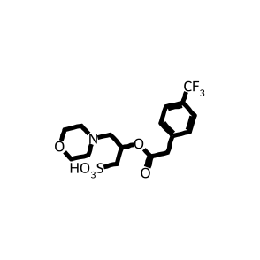 O=C(Cc1ccc(C(F)(F)F)cc1)OC(CN1CCOCC1)CS(=O)(=O)O